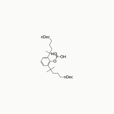 CCCCCCCCCCCCCC(C)(C)c1cccc(C(C)(C)CCCCCCCCCCCCC)c1OP(O)O